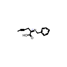 CC#CC/C(=N/Cc1ccccc1)C(=O)O